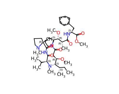 CC[C@H](C)[C@@H]([C@@H](CC(=O)N1CCC[C@H]1[C@H](OC)[C@@H](C)C(=O)N[C@@H](Cc1ccccc1)C(=O)OC)OC)N(C)[C@H](C(=O)NC(=O)[C@@]1(C)CCCN1C)C(C)C